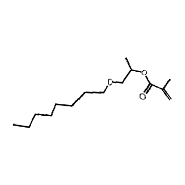 C=C(C)C(=O)OC(C)COCCCCCCCC